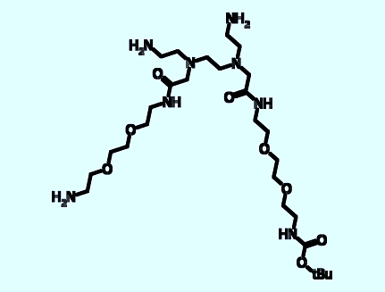 CC(C)(C)OC(=O)NCCOCCOCCNC(=O)CN(CCN)CCN(CCN)CC(=O)NCCOCCOCCN